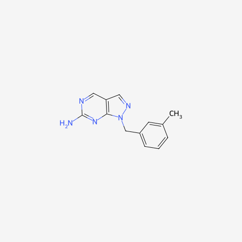 Cc1cccc(Cn2ncc3cnc(N)nc32)c1